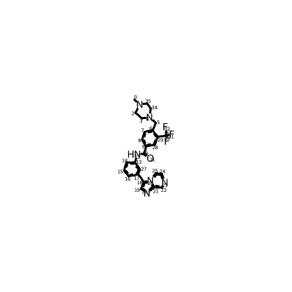 CN1CCN(Cc2ccc(C(=O)Nc3cccc(-c4cnc5cnccn45)c3)cc2C(F)(F)F)CC1